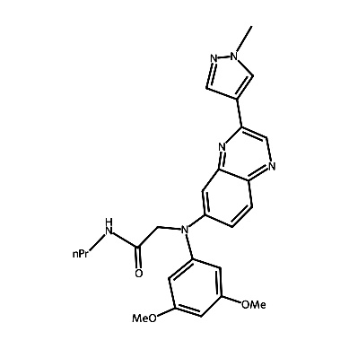 CCCNC(=O)CN(c1cc(OC)cc(OC)c1)c1ccc2ncc(-c3cnn(C)c3)nc2c1